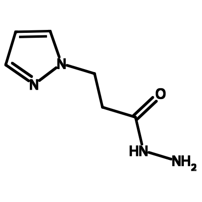 NNC(=O)CCn1cccn1